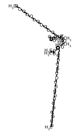 COCCOCCOCCOCCOCCOCCOCCOCCOCCOCCOCCN(CCC(=O)N[C@H](C(=O)N[C@@H](C)C(=O)Nc1ccc(COC(=O)C(C)C)c(CCCOCCOCCOCCOCCOCCOCCOCCOCCOCCOCOCCOCCOCCOCCOCCOCCOC)c1)C(C)C)C(=O)CN1C(=O)C=CC1=O